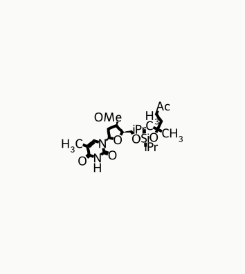 CO[C@@H]1C[C@H](n2cc(C)c(=O)[nH]c2=O)O[C@@H]1CO[Si](OC(C)(C)CCC(C)=O)(C(C)C)C(C)C